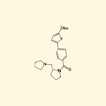 CSc1ccc(-c2ccc(C(=O)N3CCCC3CN3CCCC3)cc2)s1